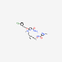 CC[C@@H](C/C=C/C[C@H](C)CONC(=O)c1cnn(CC)c1)CCN(CC)c1nc(C(N)=O)ccc1OCCCCc1cccc(Cl)c1